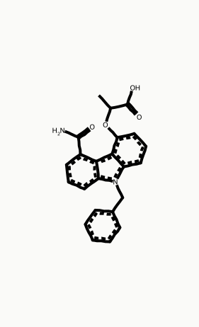 CC(Oc1cccc2c1c1c(C(N)=O)cccc1n2Cc1ccccc1)C(=O)O